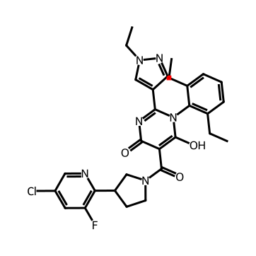 CCc1cccc(CC)c1-n1c(-c2cnn(CC)c2)nc(=O)c(C(=O)N2CCC(c3ncc(Cl)cc3F)C2)c1O